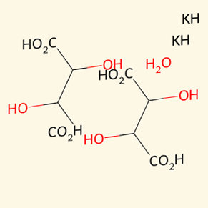 O.O=C(O)C(O)C(O)C(=O)O.O=C(O)C(O)C(O)C(=O)O.[KH].[KH]